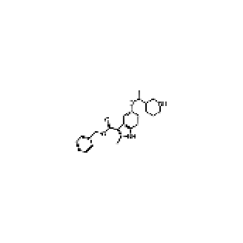 Cc1[nH]c2ccc(OC(C)C3CCCNC3)cc2c1C(=O)OCc1ccccc1